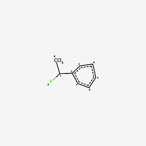 FC(c1ccccc1)C(Cl)(Cl)Cl